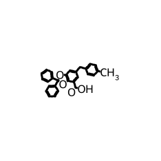 Cc1ccc(Cc2cc3c(c(C(=O)O)c2)OC(c2ccccc2)(c2ccccc2)O3)cc1